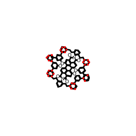 O=C1c2cc(Oc3cc(-c4ccccc4)cc(-c4ccccc4)c3)c3c4c(Oc5cc(-c6ccccc6)cc(-c6ccccc6)c5)cc5c6c(cc(Oc7cc(-c8ccccc8)cc(-c8ccccc8)c7)c(c7c(Oc8cc(-c9ccccc9)cc(-c9ccccc9)c8)cc(c2c37)C(=O)N1c1c(CCC2CCCCC2)cccc1CCC1CCCCC1)c64)C(=O)N(c1c(CCC2CCCCC2)cccc1CCC1CCCCC1)C5=O